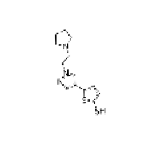 Sc1ccc(-c2cnn(CCN3CCCC3)c2)s1